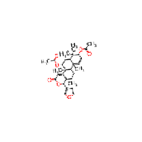 CC(=O)OC1C=C[C@@]2(C)C(C[C@@H](OC(C)=O)[C@@]3(C)C4=CC(=O)OC(c5ccoc5)[C@]4(C)CCC23)C1(C)C